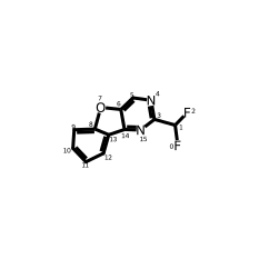 FC(F)c1ncc2oc3ccccc3c2n1